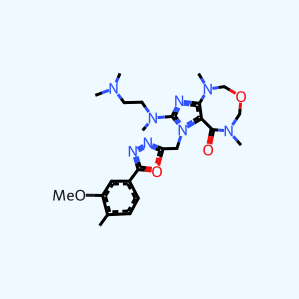 COc1cc(-c2nnc(Cn3c(N(C)CCN(C)C)nc4c3C(=O)N(C)COCN4C)o2)ccc1C